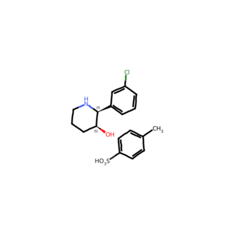 Cc1ccc(S(=O)(=O)O)cc1.O[C@H]1CCCN[C@H]1c1cccc(Cl)c1